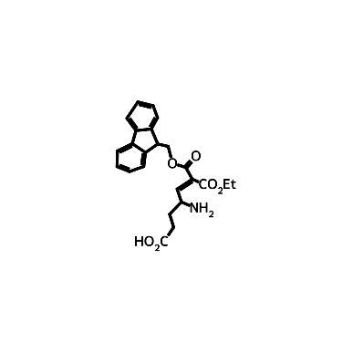 CCOC(=O)C(=CC(N)CCC(=O)O)C(=O)OCC1c2ccccc2-c2ccccc21